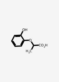 CC(Oc1ccccc1O)C(=O)O